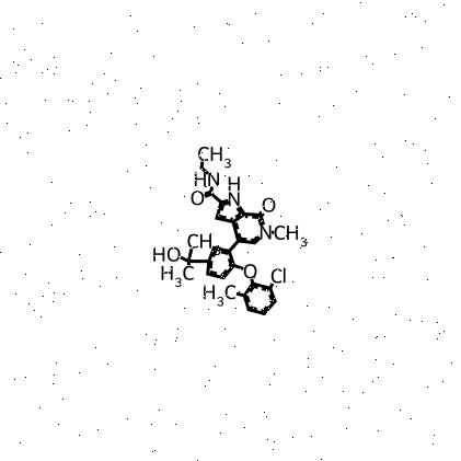 CCNC(=O)c1cc2c(-c3cc(C(C)(C)O)ccc3Oc3c(C)cccc3Cl)cn(C)c(=O)c2[nH]1